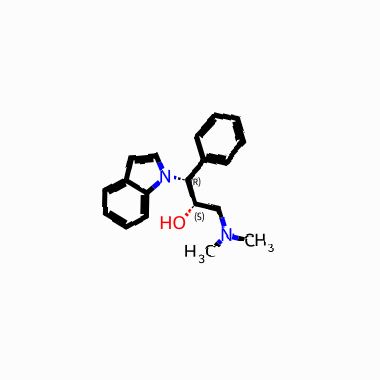 CN(C)C[C@H](O)[C@@H](c1ccccc1)n1ccc2ccccc21